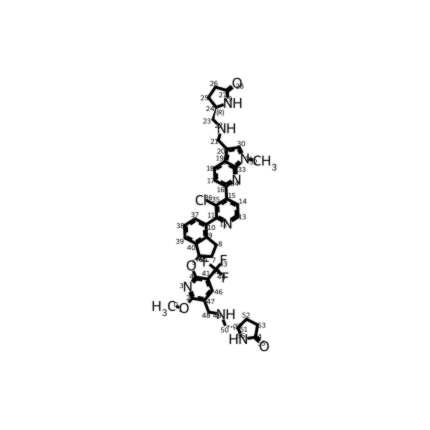 COc1nc(O[C@@H]2CCc3c(-c4nccc(-c5ccc6c(CNC[C@H]7CCC(=O)N7)cn(C)c6n5)c4Cl)cccc32)c(C(F)(F)F)cc1CNC[C@@H]1CCC(=O)N1